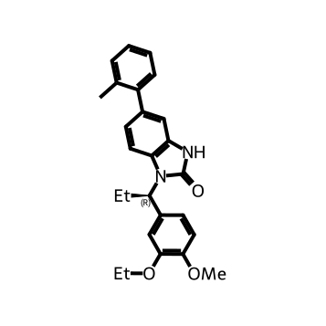 CCOc1cc([C@@H](CC)n2c(=O)[nH]c3cc(-c4ccccc4C)ccc32)ccc1OC